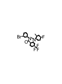 Cc1cc(F)ccc1N1CN(c2cccc(Br)c2)C(=O)c2ccc(C(F)(F)F)cc21